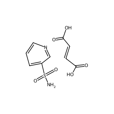 NS(=O)(=O)c1cccnc1.O=C(O)/C=C/C(=O)O